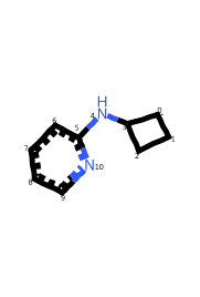 [CH]1CCC1Nc1ccccn1